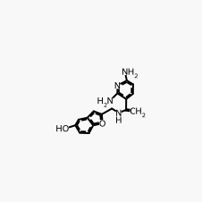 C=C(NCc1cc2cc(O)ccc2o1)c1ccc(N)nc1N